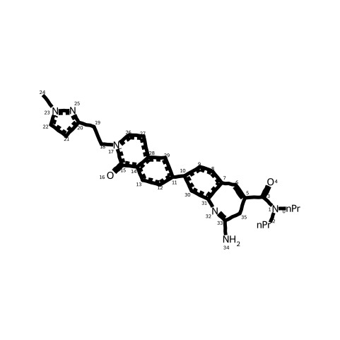 CCCN(CCC)C(=O)C1=Cc2ccc(-c3ccc4c(=O)n(CCc5ccn(C)n5)ccc4c3)cc2N=C(N)C1